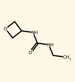 CCNC(=O)NC1COC1